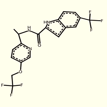 CC(NC(=O)c1cc2cc(C(F)(F)F)ccc2[nH]1)c1ccc(OCC(F)(F)F)cn1